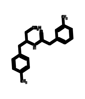 Cc1ccc(CC(CC(=O)O)NC(=O)Cc2cccc(C(F)(F)F)c2)cc1